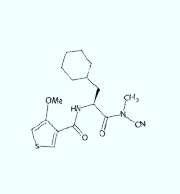 COc1cscc1C(=O)N[C@@H](CC1CCCCC1)C(=O)N(C)C#N